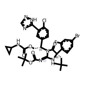 CC(C)(C)C[C@]1(c2ccc(Br)cc2F)N/C(=N/C(=O)OC(C)(C)C)N([C@H](COC(=O)NC2CC2)c2ccc(Cl)c(-c3ncn[nH]3)c2)C1=O